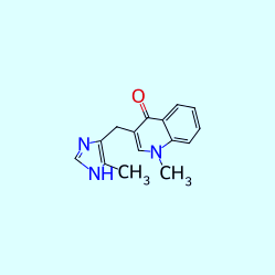 Cc1[nH]cnc1Cc1cn(C)c2ccccc2c1=O